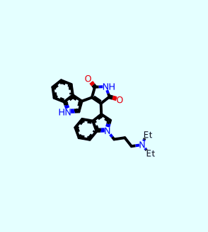 CCN(CC)CCCn1cc(C2=C(c3c[nH]c4ccccc34)C(=O)NC2=O)c2ccccc21